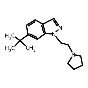 CC(C)(C)c1ccc2cnn(CCN3CCCC3)c2c1